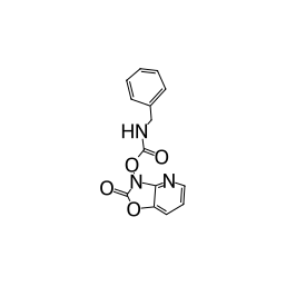 O=C(NCc1ccccc1)On1c(=O)oc2cccnc21